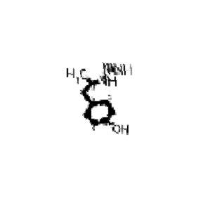 CC(Cc1ccc(O)cc1)NN=N